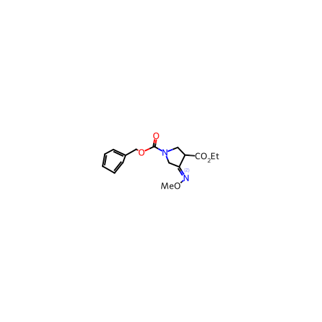 CCOC(=O)C1CN(C(=O)OCc2ccccc2)C/C1=N\OC